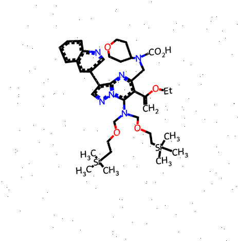 C=C(OCC)c1c(CN(C(=O)O)C2CCOCC2)nc2c(-c3cnc4ccccc4c3)cnn2c1N(COCC[Si](C)(C)C)COCC[Si](C)(C)C